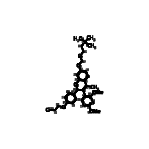 COc1ncc(C2=C(C)c3ccc(OCOCC[Si](C)(C)C)cc3OC2c2ccc(OCCCl)cc2)c(OC)n1